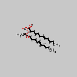 CCCC/C=C/CCCCCC(=O)O.CCCC/C=C/CCCCOC(C)=O